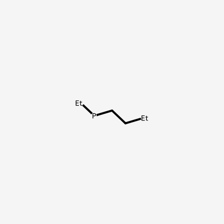 CCCC[P]CC